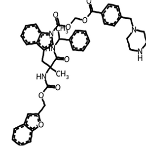 CC(NC(=O)C(C)(Cc1cn(C(=O)OCOC(=O)c2ccc(CN3CCNCC3)cc2)c2ccccc12)NC(=O)OCc1cc2ccccc2o1)c1ccccc1